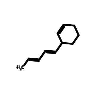 [CH2]C=CC=CC1C=CCCC1